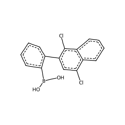 OB(O)c1ccccc1-c1cc(Cl)c2ccccc2c1Cl